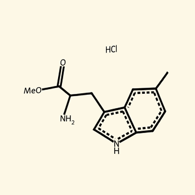 COC(=O)C(N)Cc1c[nH]c2ccc(C)cc12.Cl